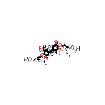 C=C(CCOc1c(Br)cc(C(C)(C)c2cc(Br)c(OCCC(=C)C(=O)O)c(Br)c2)cc1Br)C(=O)O